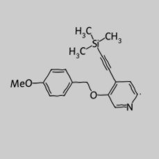 COc1ccc(COc2cn[c]cc2C#C[Si](C)(C)C)cc1